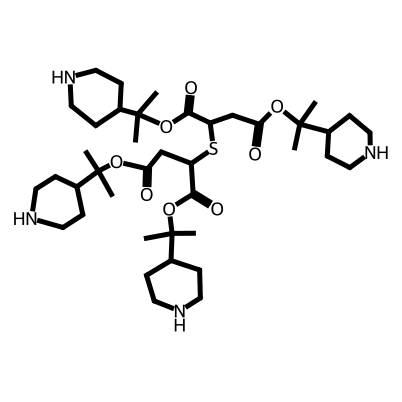 CC(C)(OC(=O)CC(SC(CC(=O)OC(C)(C)C1CCNCC1)C(=O)OC(C)(C)C1CCNCC1)C(=O)OC(C)(C)C1CCNCC1)C1CCNCC1